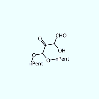 CCCCCOC(OCCCCC)C(=O)C(O)C=O